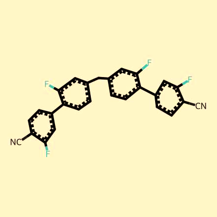 N#Cc1ccc(-c2ccc(Cc3ccc(-c4ccc(C#N)c(F)c4)c(F)c3)cc2F)cc1F